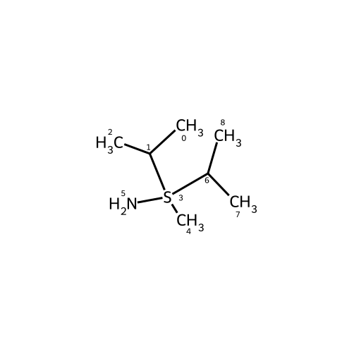 CC(C)S(C)(N)C(C)C